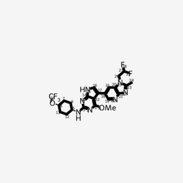 COc1nc(N[C@H]2CC[C@@H](OC(F)(F)F)CC2)nc2[nH]cc(-c3cnc4nc(C)n(CC(F)F)c4c3)c12